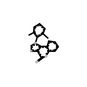 Cc1cccc(C)c1-n1cnc2c(=O)oc3ccccc3c21